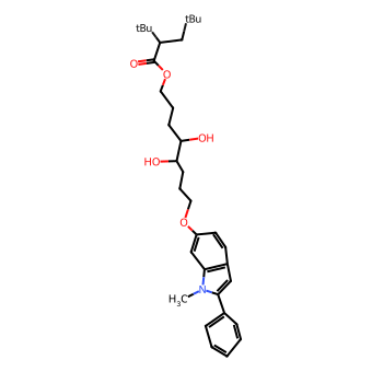 Cn1c(-c2ccccc2)cc2ccc(OCCCC(O)C(O)CCCOC(=O)C(CC(C)(C)C)C(C)(C)C)cc21